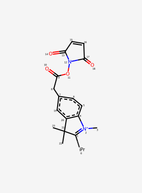 CC(C)C1=[N+](C)c2ccc(CC(=O)ON3C(=O)C=CC3=O)cc2C1(C)C